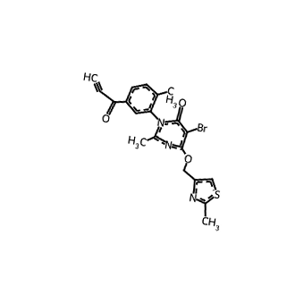 C#CC(=O)c1ccc(C)c(-n2c(C)nc(OCc3csc(C)n3)c(Br)c2=O)c1